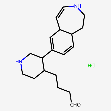 Cl.O=CCCCC1CCNCC1C1=CC2C=CNCCC2C=C1